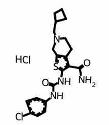 Cl.NC(=O)c1c(NC(=O)Nc2ccc(Cl)cc2)sc2c1CCN(CC1CCC1)C2